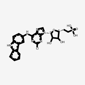 O=P(O)(O)CC[C@H]1O[C@@H](n2cnc3c(Nc4ccc5[nH]c6ccccc6c5c4)nc(Cl)nc32)C(O)C1O